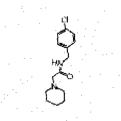 O=C(CN1CCCCC1)NCc1ccc(Cl)cc1